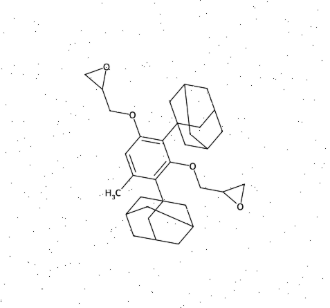 Cc1cc(OCC2CO2)c(C23CC4CC(CC(C4)C2)C3)c(OCC2CO2)c1C12CC3CC(CC(C3)C1)C2